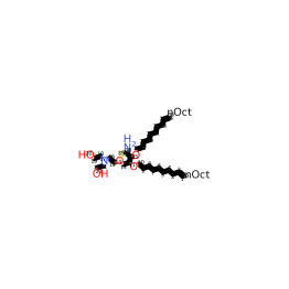 CCCCCCCCC=CCCCCCCCCOC(COCCN(CCO)CCO)C(OCCCCCCCCC=CCCCCCCCC)C(N)=S